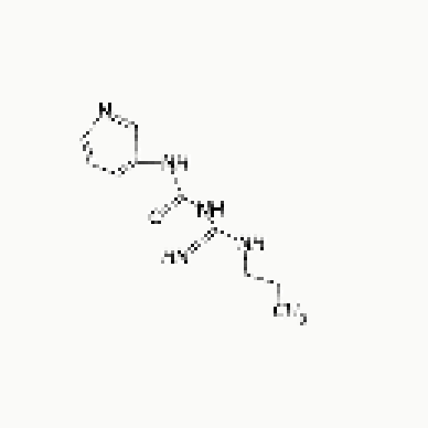 CCCNC(=N)NC(=O)Nc1cccnc1